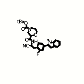 Cn1c(-c2ccc(C[C@@H](C#N)NC(=O)C3CN(C(=O)OC(C)(C)C)CCCO3)c(F)c2)cc2ccccc21